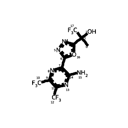 CC(O)(c1nnc(-c2nc(C(F)(F)F)c(C(F)(F)F)nc2N)o1)C(F)(F)F